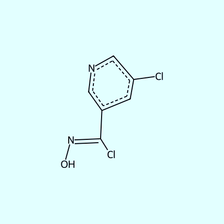 O/N=C(\Cl)c1cncc(Cl)c1